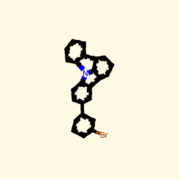 Brc1cccc(-c2ccc3c(c2)c2cccc4c5ccccc5n3c42)c1